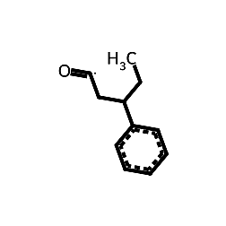 CCC(C[C]=O)c1ccccc1